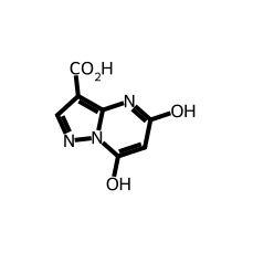 O=C(O)c1cnn2c(O)cc(O)nc12